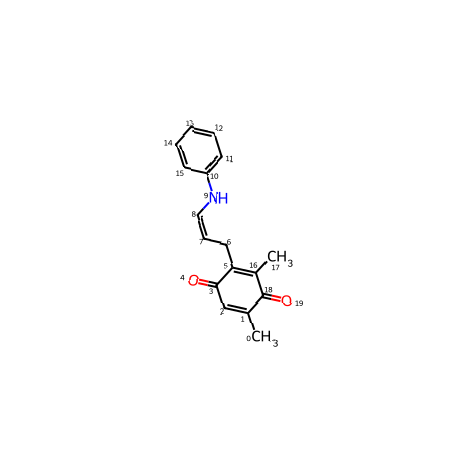 CC1=CC(=O)C(C/C=C\Nc2ccccc2)=C(C)C1=O